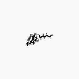 CCCCCC[O][Sn](=[O])[C](F)(F)C(F)(F)C(F)(F)CF